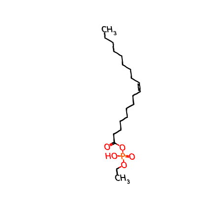 CCCCCCCC/C=C\CCCCCCCC(=O)OP(=O)(O)OCC